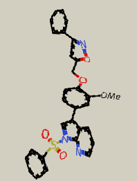 COc1cc(-c2cn(S(=O)(=O)c3ccccc3)c3ncccc23)ccc1OCc1cc(-c2ccccc2)no1